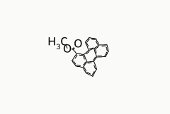 COC(=O)c1ccc2cccc3c4cccc5cccc(c1c23)c54